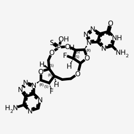 Nc1nc2c(nnn2[C@@H]2OC3OCC[C@H]4[C@H](F)[C@H](n5nnc6c(N)ncnc65)O[C@@H]4COP(O)(=S)O[C@@H]2[C@@H]3F)c(=O)[nH]1